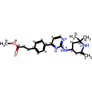 C=C1CC(Nc2nccc(-c3ccc(CCC(=O)OC)cc3)n2)CC(C)(C)N1